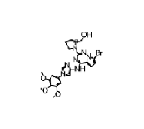 COc1cc(-n2cnc(Nc3nc(N4CCC[C@H]4CO)nn4c(Br)ccc34)c2)cc(OC)c1OC